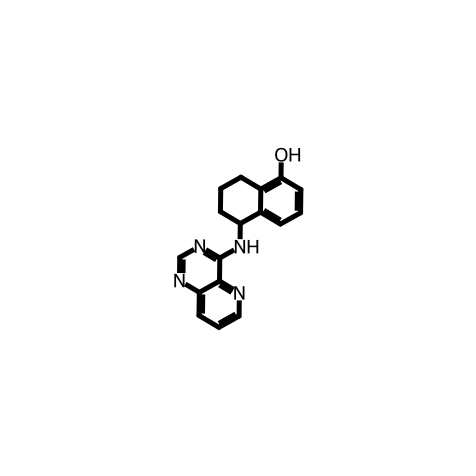 Oc1cccc2c1CCCC2Nc1ncnc2cccnc12